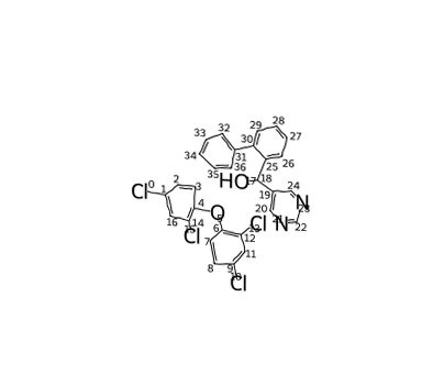 Clc1ccc(Oc2ccc(Cl)cc2Cl)c(Cl)c1.OC(c1cncnc1)c1ccccc1-c1ccccc1